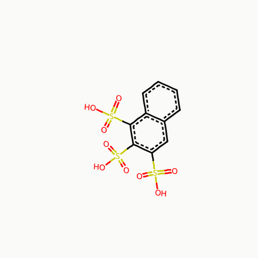 O=S(=O)(O)c1cc2ccccc2c(S(=O)(=O)O)c1S(=O)(=O)O